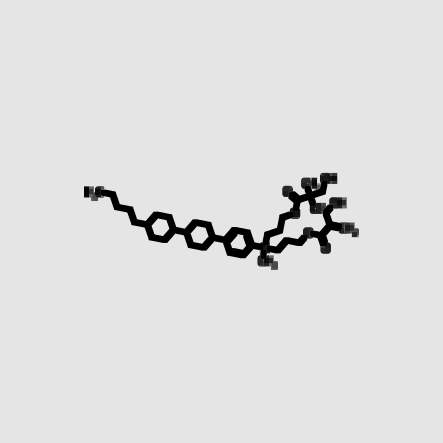 C=C(CO)C(=O)OCCC[Si](C)(CCCOC(=O)C(C)(C)CO)c1ccc(C2CCC(C3CCC(CCCCC)CC3)CC2)cc1